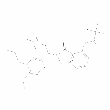 CCOc1cc(C(CS(C)(=O)=O)N2Cc3cccc(NC(=O)C(C)(C)C)c3C2=O)ccc1OC